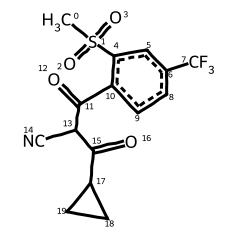 CS(=O)(=O)c1cc(C(F)(F)F)ccc1C(=O)C(C#N)C(=O)C1CC1